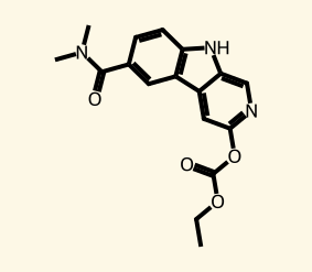 CCOC(=O)Oc1cc2c(cn1)[nH]c1ccc(C(=O)N(C)C)cc12